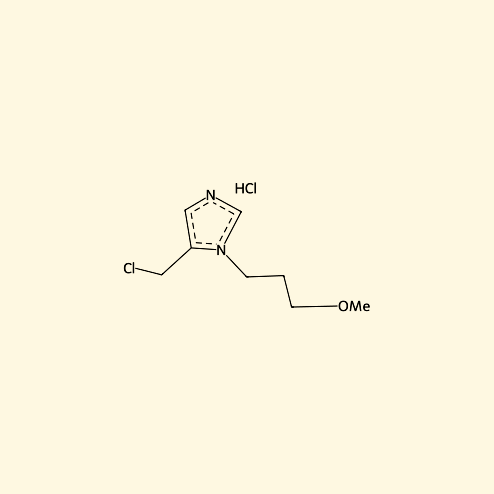 COCCCn1cncc1CCl.Cl